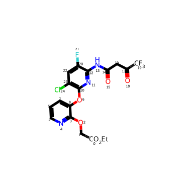 CCOC(=O)COc1ncccc1Oc1nc(NC(=O)CC(=O)C(F)(F)F)c(F)cc1Cl